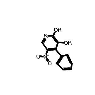 O=[N+]([O-])c1cnc(O)c(O)c1-c1ccccc1